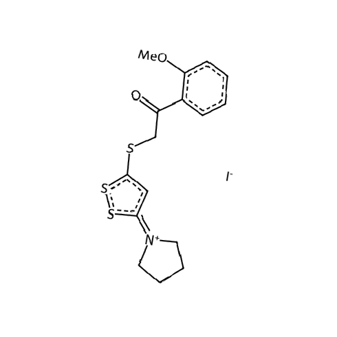 COc1ccccc1C(=O)CSc1cc(=[N+]2CCCC2)ss1.[I-]